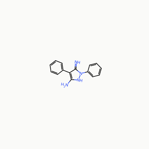 N=c1c(-c2ccccc2)c(N)[nH]n1-c1ccccc1